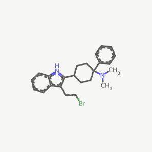 CN(C)C1(c2ccccc2)CCC(c2[nH]c3ccccc3c2CCBr)CC1